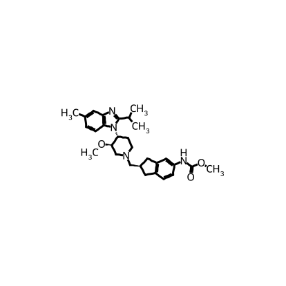 COC(=O)Nc1ccc2c(c1)C[C@H](CN1CC[C@@H](n3c(C(C)C)nc4cc(C)ccc43)[C@H](OC)C1)C2